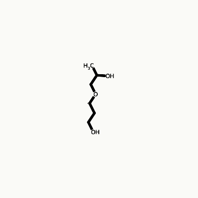 CC(O)CO[CH]CCO